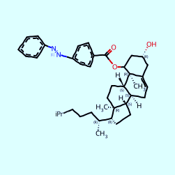 CC(C)CCC[C@@H](C)[C@H]1CC[C@H]2[C@@H]3CC=C4C[C@@H](O)CC(OC(=O)c5ccc(/N=N/c6ccccc6)cc5)[C@]4(C)[C@H]3CC[C@]12C